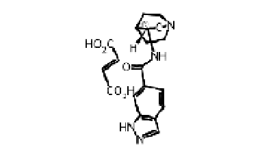 O=C(N[C@H]1CN2CCC1CC2)c1ccc2cn[nH]c2c1.O=C(O)C=CC(=O)O